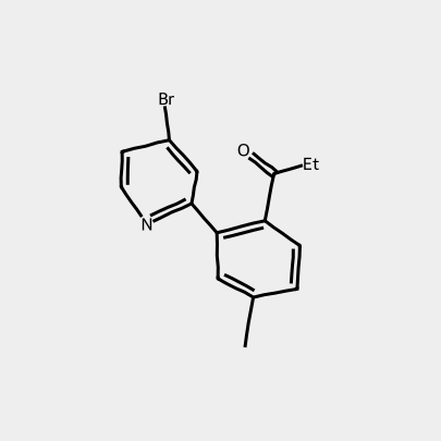 CCC(=O)c1ccc(C)cc1-c1cc(Br)ccn1